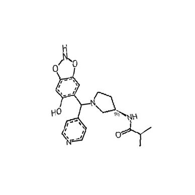 CC(C)C(=O)N[C@@H]1CCN(C(c2ccncc2)c2cc3c(cc2O)ONO3)C1